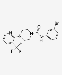 O=C(Nc1cccc(Br)c1)N1CCN(c2ncccc2C(F)(F)F)CC1